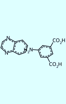 Nc1cc(C(=O)O)cc(C(=O)O)c1.c1ccc2nccnc2c1